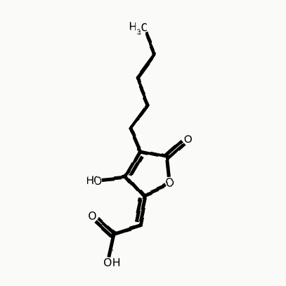 CCCCCC1=C(O)/C(=C\C(=O)O)OC1=O